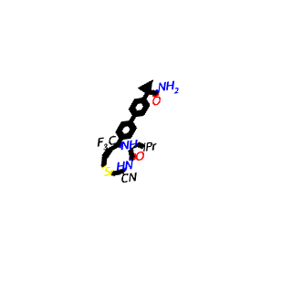 CC(C)C[C@@H]1N[C@@](c2ccc(-c3ccc(C4(C(N)=O)CC4)cc3)cc2)(C(F)(F)F)C#CCSC[C@@H](C#N)NC1=O